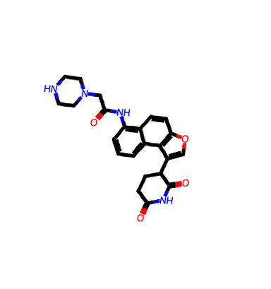 O=C1CCC(c2coc3ccc4c(NC(=O)CN5CCNCC5)cccc4c23)C(=O)N1